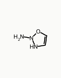 NN1NC=CO1